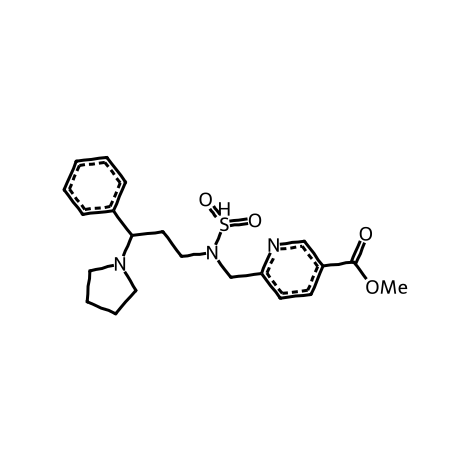 COC(=O)c1ccc(CN(CCC(c2ccccc2)N2CCCC2)[SH](=O)=O)nc1